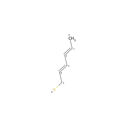 C/C=C/C=C/C[S]